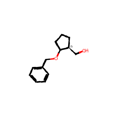 OC[C@@H]1CCCC1OCc1ccccc1